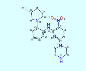 O=[N+]([O-])c1ccc(N2CCNCC2)nc1Nc1ccccc1N1CCCC(F)C1